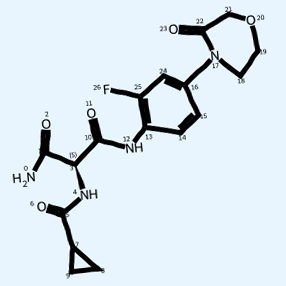 NC(=O)[C@H](NC(=O)C1CC1)C(=O)Nc1ccc(N2CCOCC2=O)cc1F